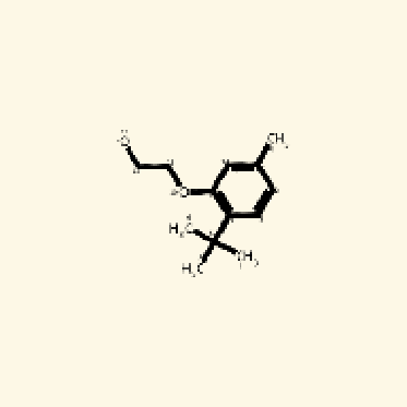 Cc1[c]cc(C(C)(C)C)c(OCC[O])c1